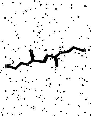 O=C(C=CC(=O)OCCS)OCCS